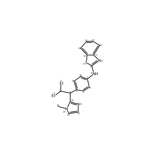 CCC(CC)C(c1ccc(Nc2nc3ccccc3s2)cc1)c1nccn1C